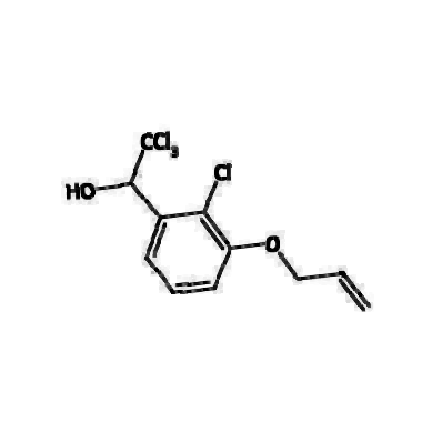 C=CCOc1cccc(C(O)C(Cl)(Cl)Cl)c1Cl